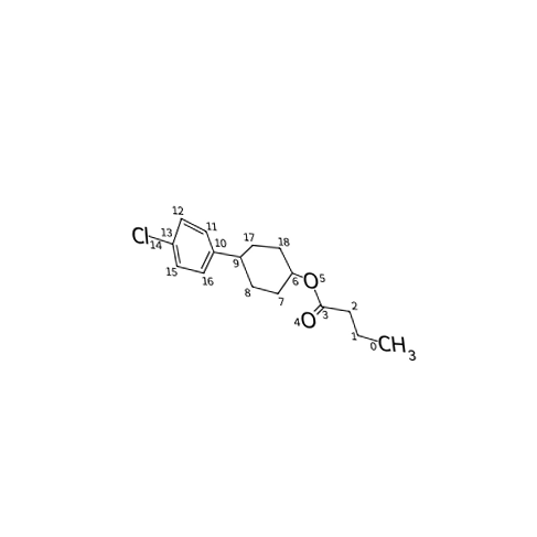 CCCC(=O)OC1CCC(c2ccc(Cl)cc2)CC1